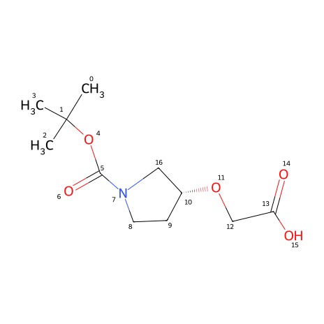 CC(C)(C)OC(=O)N1CC[C@@H](OCC(=O)O)C1